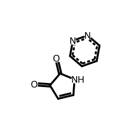 O=C1C=CNC1=O.c1ccnnc1